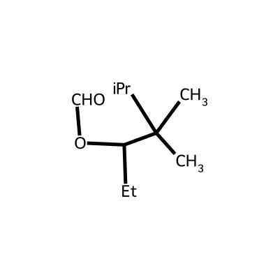 CCC(OC=O)C(C)(C)C(C)C